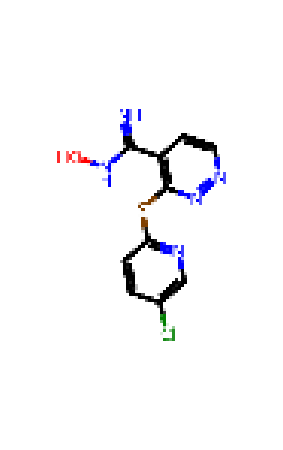 N=C(NO)c1ccnnc1Sc1ccc(Cl)cn1